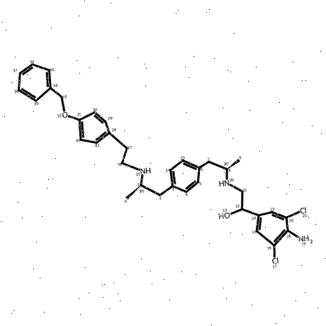 C[C@H](Cc1ccc(C[C@@H](C)NCC(O)c2cc(Cl)c(N)c(Cl)c2)cc1)NCCc1ccc(OCc2ccccc2)cc1